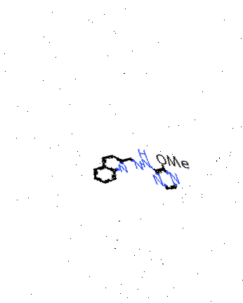 COc1nccnc1NN=Cc1ccc2ccccc2n1